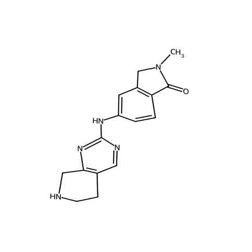 CN1Cc2cc(Nc3ncc4c(n3)CNCC4)ccc2C1=O